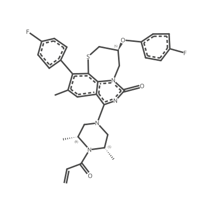 C=CC(=O)N1[C@H](C)CN(c2nc(=O)n3c4c(c(-c5ccc(F)cc5)c(C)cc24)SC[C@@H](Oc2ccc(F)cc2)C3)C[C@@H]1C